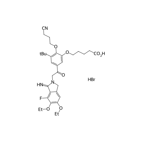 Br.CCOc1cc2c(c(F)c1OCC)C(=N)N(CC(=O)c1cc(OCCCCC(=O)O)c(OCCCC#N)c(C(C)(C)C)c1)C2